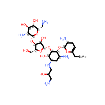 CNCC1=CC[C@@H](N)[C@@H](O[C@H]2[C@H](O[C@@H]3O[C@H](CO)[C@@H](O[C@H]4O[C@@H](CN)[C@@H](O)[C@H](O)[C@H]4N)[C@H]3O)[C@@H](O)[C@H](NCC(O)CN)C[C@@H]2N)O1